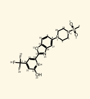 CS(=O)(=O)N1CCN(c2ccc3oc(-c4cc(C(F)(F)F)cc(O)n4)nc3c2)CC1